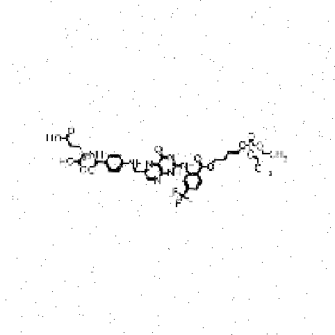 CCOP(=O)(OCC)OCCCCOC(=O)c1ccc(C(F)(F)F)cc1Nc1nc(=O)c2nc(CNc3ccc(C(=O)N[C@@H](CCC(=O)O)C(=O)O)cc3)cnc2[nH]1